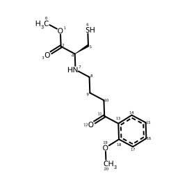 COC(=O)[C@@H](CS)NCCCC(=O)c1ccccc1OC